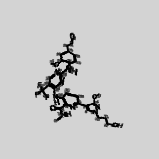 CNC(=O)c1nc(-c2cn(CCCO)nc2OC)ccc1Nc1nc(Nc2ccc(CP=O)cc2OC)ncc1C(F)(F)F